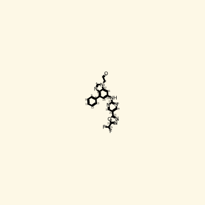 O=CCn1cnc2c(-c3ccccc3)cc(Nc3ncc(-c4nnc(C(F)F)o4)cn3)cc21